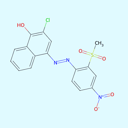 CS(=O)(=O)c1cc([N+](=O)[O-])ccc1/N=N/c1cc(Cl)c(O)c2ccccc12